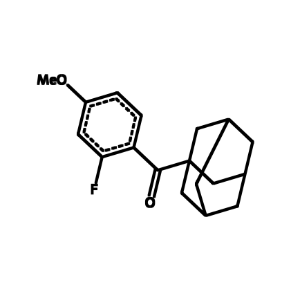 COc1ccc(C(=O)C23CC4CC(CC(C4)C2)C3)c(F)c1